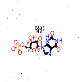 O=c1[nH]c(=O)c2ncn([C@@H]3O[C@H](COP(=O)([O-])[O-])[C@@H](O)[C@H]3O)c2[nH]1.[Na+].[Na+]